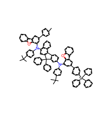 Cc1ccc(-c2cc(N(c3ccc(C(C)(C)C)cc3)c3cc4c(c5ccccc35)-c3ccc(N(c5ccc(C(C)(C)C)cc5)c5cc(-c6ccc([Si](c7ccccc7)(c7ccccc7)c7ccccc7)cc6)cc6c5oc5ccccc56)cc3C4(c3ccccc3)c3ccccc3)c3oc4ccccc4c3c2)cc1